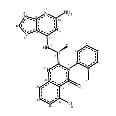 Cc1ccccc1-n1c([C@H](C)Nc2nc(N)nc3[nH]cnc23)nc2cccc(Cl)c2c1=O